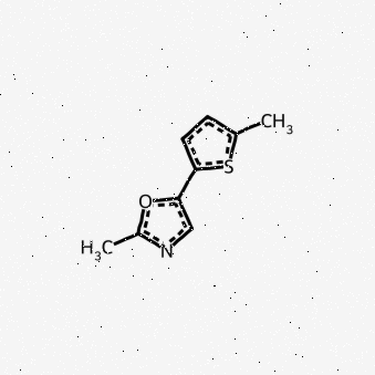 Cc1ncc(-c2ccc(C)s2)o1